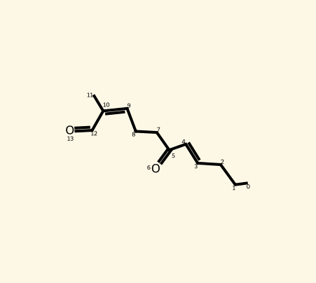 CCCC=CC(=O)CCC=C(C)C=O